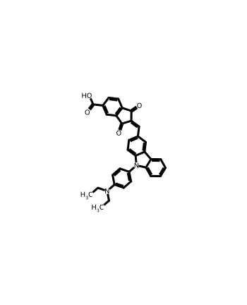 CCN(CC)c1ccc(-n2c3ccccc3c3cc(/C=C4/C(=O)c5ccc(C(=O)O)cc5C4=O)ccc32)cc1